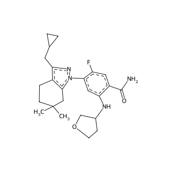 CC1(C)CCc2c(CC3CC3)nn(-c3cc(NC4CCOC4)c(C(N)=O)cc3F)c2C1